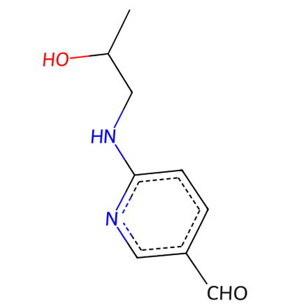 CC(O)CNc1ccc(C=O)cn1